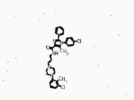 Cc1c(Cl)cccc1N1CCN(CCCNC(=O)c2nc(-c3ccccc3)n(-c3ccc(Cl)cc3)c2C)CC1